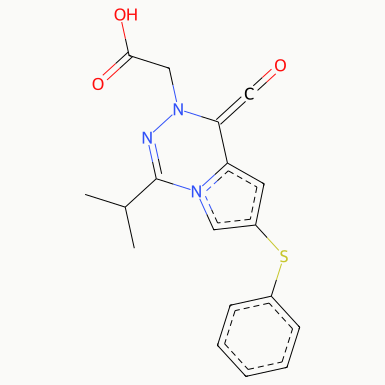 CC(C)C1=NN(CC(=O)O)C(=C=O)c2cc(Sc3ccccc3)cn21